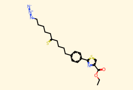 CCOC(=O)c1csc(-c2ccc(CCCCC(=S)CCCCCN=[N+]=[N-])cc2)n1